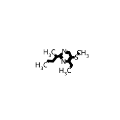 CCCC(C)c1ncc(SC)c(CC)n1